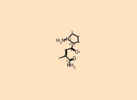 CC(=CC(=O)[C@@H]1CCCN1N)C(N)=O